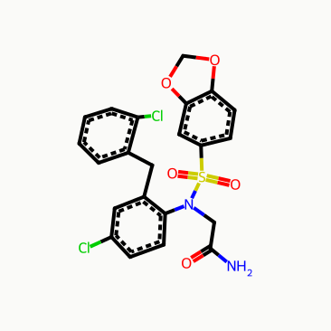 NC(=O)CN(c1ccc(Cl)cc1Cc1ccccc1Cl)S(=O)(=O)c1ccc2c(c1)OCO2